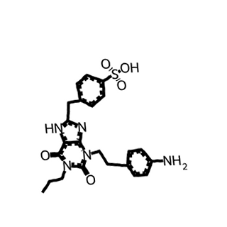 CCCn1c(=O)c2[nH]c(Cc3ccc(S(=O)(=O)O)cc3)nc2n(CCc2ccc(N)cc2)c1=O